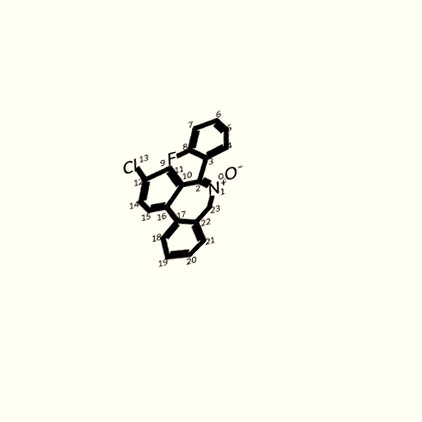 [O-][N+]1=C(c2ccccc2F)c2cc(Cl)ccc2-c2ccccc2C1